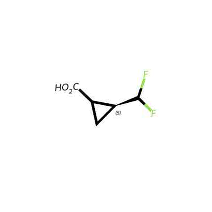 O=C(O)C1C[C@@H]1C(F)F